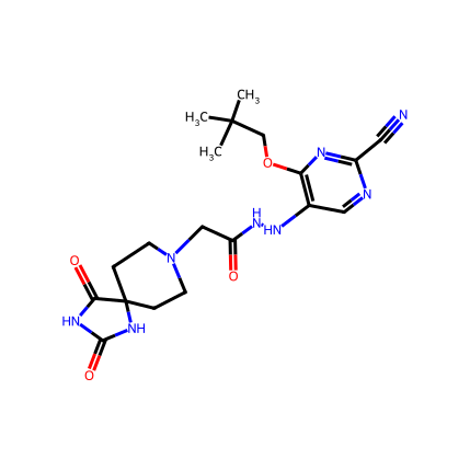 CC(C)(C)COc1nc(C#N)ncc1NNC(=O)CN1CCC2(CC1)NC(=O)NC2=O